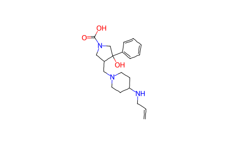 C=CCNC1CCN(CC2CN(C(=O)O)CC2(O)c2ccccc2)CC1